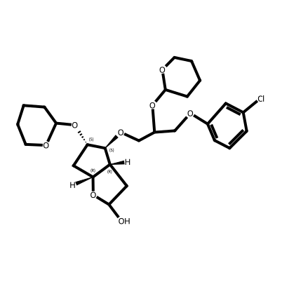 OC1C[C@H]2[C@H](OCC(COc3cccc(Cl)c3)OC3CCCCO3)[C@@H](OC3CCCCO3)C[C@H]2O1